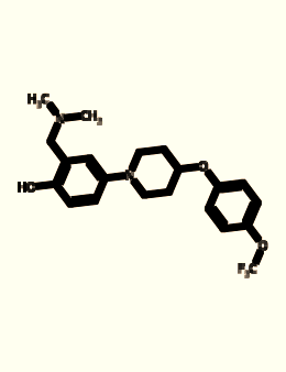 CN(C)Cc1cc(N2CCC(Oc3ccc(OC(F)(F)F)cc3)CC2)ccc1O